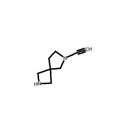 C#CN1CCC2(CNC2)C1